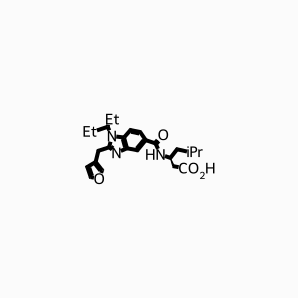 CCC(CC)n1c(Cc2ccoc2)nc2cc(C(=O)N[C@H](CC(=O)O)CC(C)C)ccc21